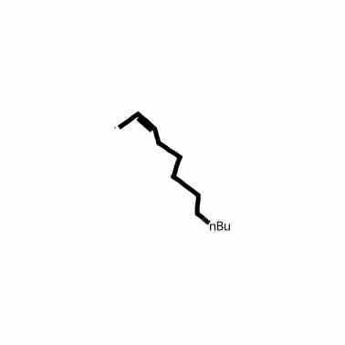 [CH2]/C=C\CCCCCCCCC